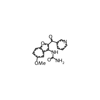 COc1ccc2oc(C(=O)c3cccnc3)c(NC(N)=O)c2c1